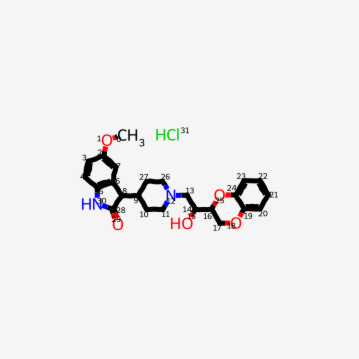 COc1ccc2c(c1)C(C1CCN(CC(O)C3COc4ccccc4O3)CC1)C(=O)N2.Cl